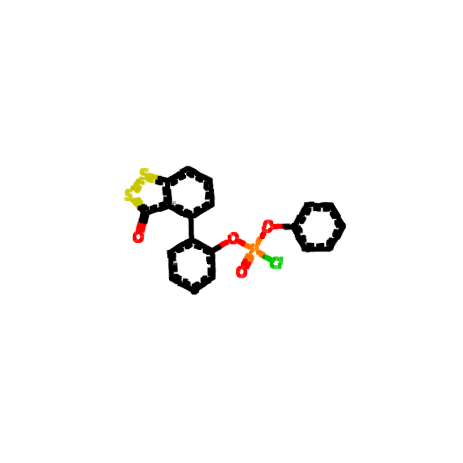 O=c1ssc2cccc(-c3ccccc3OP(=O)(Cl)Oc3ccccc3)c12